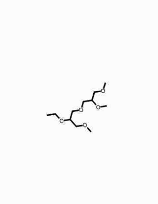 CCOC(COC)COCC(COC)OC